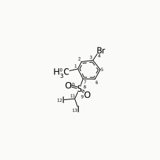 Cc1cc(Br)ccc1S(=O)(=O)C(I)I